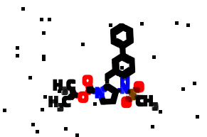 CC(C)OC(=O)N1CC[C@@H](NS(C)(=O)=O)[C@H]1Cc1cccc(-c2ccccc2)c1